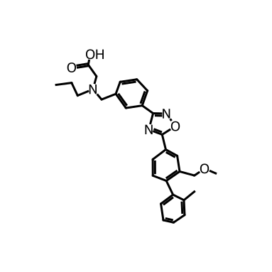 CCCN(CC(=O)O)Cc1cccc(-c2noc(-c3ccc(-c4ccccc4C)c(COC)c3)n2)c1